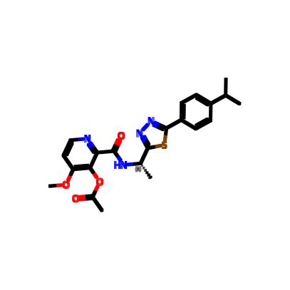 COc1ccnc(C(=O)N[C@@H](C)c2nnc(-c3ccc(C(C)C)cc3)s2)c1OC(C)=O